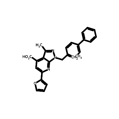 C=C(/C=C\C(=C/C)c1ccccc1)Cn1nc(C)c2c(C(=O)O)cc(-c3ccco3)nc21